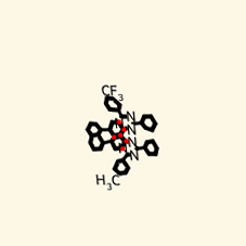 Cc1ccc(-c2nc(-c3ccccc3)nc(-c3cccc(-c4cccc5cccc(-c6cccc(-c7nc(-c8ccccc8)nc(-c8ccc(C(F)(F)F)cc8)n7)c6)c45)c3)n2)cc1